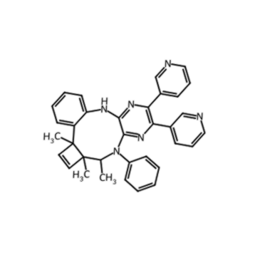 CC1N(c2ccccc2)c2nc(-c3cccnc3)c(-c3cccnc3)nc2Nc2ccccc2C2(C)C=CC12C